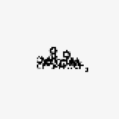 CNC(=O)NC1(c2ccccc2)CCN(C[C@@H]2C[C@@]2(C(=O)N(C)Cc2ccccc2)c2ccc(Cl)c(Cl)c2)CC1